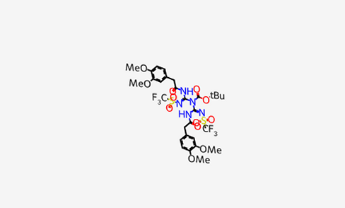 COc1ccc(CC(=O)NC(=NS(=O)(=O)C(F)(F)F)N(C(=O)OC(C)(C)C)C(=NS(=O)(=O)C(F)(F)F)NC(=O)Cc2ccc(OC)c(OC)c2)cc1OC